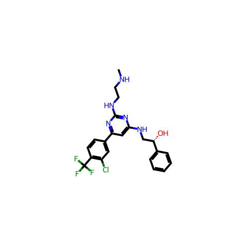 CNCCNc1nc(NC[C@H](O)c2ccccc2)cc(-c2ccc(C(F)(F)F)c(Cl)c2)n1